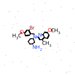 COc1ccc(CN(c2cc(C)c3ccc(OC)cc3n2)[C@H]2CCC[C@H](N)C2)c(Br)c1